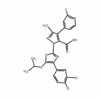 Cc1nn(-c2nc(-c3ccc(Cl)c(Cl)c3)c(SC(C)C)s2)c(C(=O)O)c1-c1ccnc(F)c1